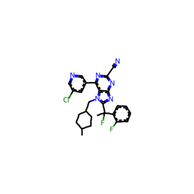 CC1CCC(Cn2c(C(C)(F)c3ccccc3F)nc3nc(C#N)nc(-c4cncc(Cl)c4)c32)CC1